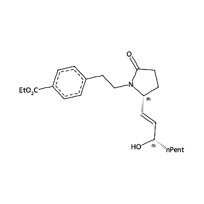 CCCCC[C@H](O)C=C[C@H]1CCC(=O)N1CCc1ccc(C(=O)OCC)cc1